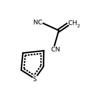 C=C(C#N)C#N.c1ccsc1